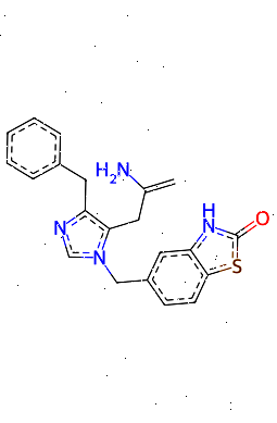 C=C(N)Cc1c(Cc2ccccc2)ncn1Cc1ccc2sc(=O)[nH]c2c1